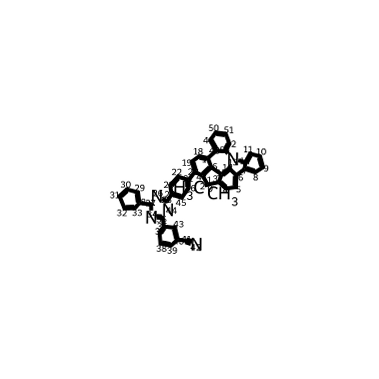 CC1(C)c2ccc3c4ccccc4n4c3c2-c2c(ccc(-c3ccc(-c5nc(-c6ccccc6)nc(-c6cccc(C#N)c6)n5)cc3)c21)-c1ccccc1-4